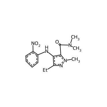 CCc1nn(C)c(C(=O)N(C)C)c1Nc1ccccc1[N+](=O)[O-]